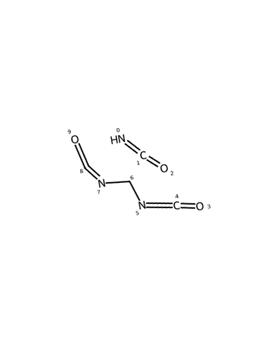 N=C=O.O=C=NCN=C=O